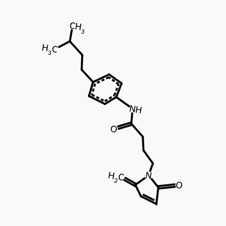 C=C1C=CC(=O)N1CCCC(=O)Nc1ccc(CCC(C)C)cc1